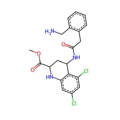 COC(=O)C1CC(NC(=O)Cc2ccccc2CN)c2c(Cl)cc(Cl)cc2N1